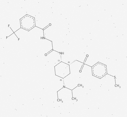 CCN(C(C)C)[C@@H]1CC[C@H](NC(=O)CNC(=O)c2cccc(C(F)(F)F)c2)[C@H](CS(=O)(=O)c2ccc(SC)cc2)C1